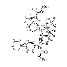 CN(C(=O)OC(C)(C)C)[C@]1(C)CCc2ccc(N3c4nc(N(C(=O)OC(C)(C)C)c5ccc(N6CCOCC6)cc5)ncc4[C@@]4(C)COC(C)(C)C[C@@H]34)nc21